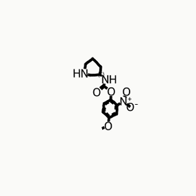 COc1ccc(OC(=O)N[C@H]2CCCNC2)c([N+](=O)[O-])c1